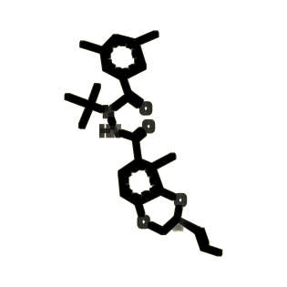 CC=C[C@H]1COc2ccc(C(=O)NN(C(=O)c3cc(C)cc(C)c3)C(C)(C)C)c(C)c2O1